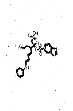 CCCC(/C=C/C=C/Nc1ccccc1)C(C)(CS(=O)(=O)O)OS(=O)(=O)c1ccc2c(c1)CC=N2